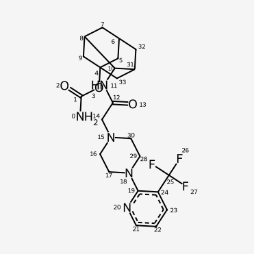 NC(=O)OC12CC3CC(C1)C(NC(=O)CN1CCN(c4ncccc4C(F)(F)F)CC1)C(C3)C2